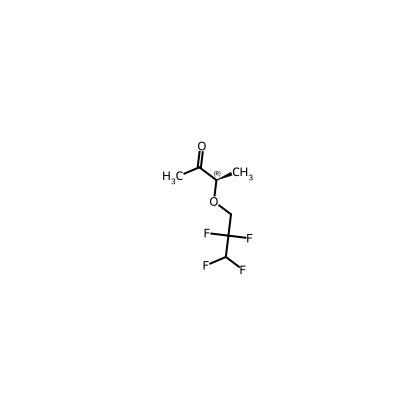 CC(=O)[C@@H](C)OCC(F)(F)C(F)F